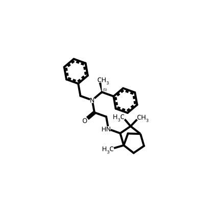 C[C@@H](c1ccccc1)N(Cc1ccccc1)C(=O)CNC1C2(C)CCC(C2)C1(C)C